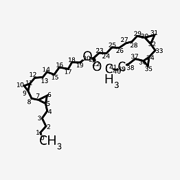 CCCCCC1CC1CC1CC1CCCCCCCCOC(=O)CCCCCCCC1CC1CC1CC1CCCCC